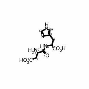 N[C@@H](CC(=O)O)C(=O)N[C@@H](Cc1c[nH]cn1)C(=O)O